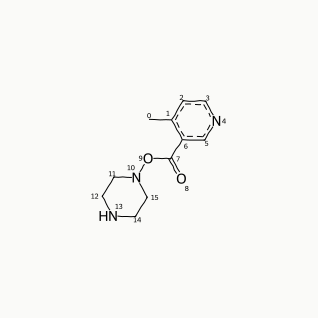 Cc1ccncc1C(=O)ON1CCNCC1